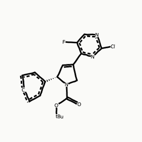 CC(C)(C)OC(=O)N1CC(c2nc(Cl)ncc2F)=C[C@H]1c1ccccc1